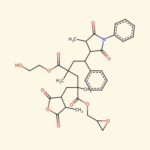 CC1C(=O)OC(=O)C1CC(C)(CC(C)(CC(c1ccccc1)C1C(=O)N(c2ccccc2)C(=O)C1C)C(=O)OCCO)C(=O)OCC1CO1